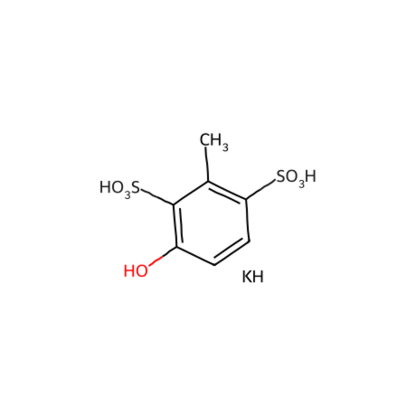 Cc1c(S(=O)(=O)O)ccc(O)c1S(=O)(=O)O.[KH]